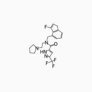 O=C(c1cc(C(F)(F)F)n[nH]1)N(CCN1CCCC1)Cc1cccc2c1C(F)=CC2